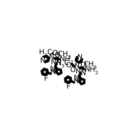 COCC(=O)N(c1ccncc1)c1nc(-c2nn(Cc3ccccc3F)c3c2CCC3)nc(N)c1OC.COc1c(N)nc(-c2nn(Cc3ccccc3F)c3c2CCC3)nc1N(C(C)=O)c1ccncc1